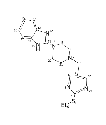 CCSc1ncc(CN2CCN(c3nc4ccccc4[nH]3)CC2)cn1